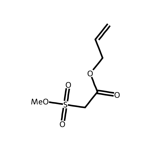 C=CCOC(=O)CS(=O)(=O)OC